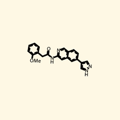 COc1ccccc1CC(=O)Nc1cc2cc(-c3cn[nH]c3)ccc2cn1